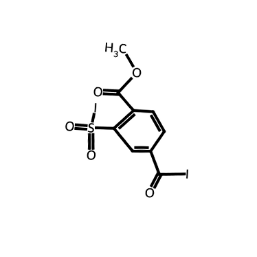 COC(=O)c1ccc(C(=O)I)cc1S(=O)(=O)I